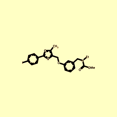 CCN(Cc1cccc(OCc2nc(-c3ccc(I)cc3)oc2C)c1)C(=O)OC